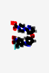 O=C(O)N1CCN(c2cc(OC3CCC(Nc4ccc([N+](=O)[O-])c(C(F)(F)F)c4)CC3)ccn2)CC1